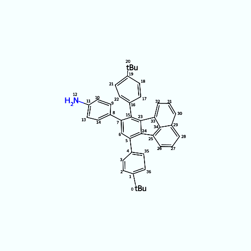 CC(C)(C)c1ccc(-c2cc(-c3ccc(N)cc3)c(-c3ccc(C(C)(C)C)cc3)c3c2-c2cccc4cccc-3c24)cc1